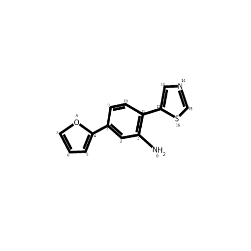 Nc1cc(-c2ccco2)ccc1-c1cncs1